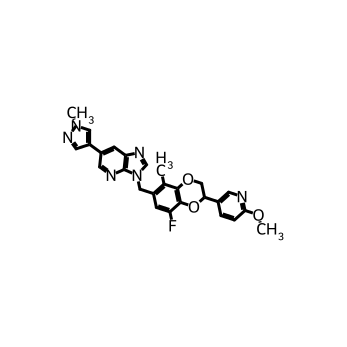 COc1ccc(C2COc3c(C)c(Cn4cnc5cc(-c6cnn(C)c6)cnc54)cc(F)c3O2)cn1